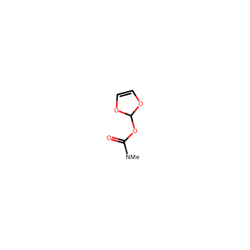 CNC(=O)OC1OC=CO1